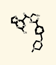 CN1CCN(Cc2ccc(C(=O)NN(CC(C)(C)C)C(=O)c3nc(C#N)nc4ccnn34)cc2)CC1